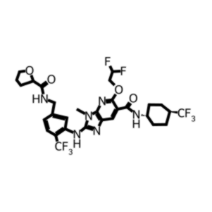 Cn1c(Nc2cc(CNC(=O)C3CCCO3)ccc2C(F)(F)F)nc2cc(C(=O)N[C@H]3CC[C@H](C(F)(F)F)CC3)c(OCC(F)F)nc21